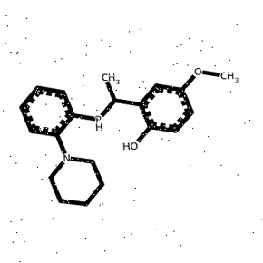 COc1ccc(O)c(C(C)Pc2ccccc2N2CCCCC2)c1